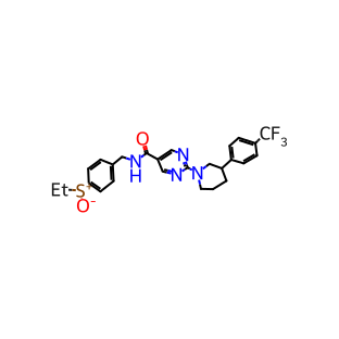 CC[S+]([O-])c1ccc(CNC(=O)c2cnc(N3CCCC(c4ccc(C(F)(F)F)cc4)C3)nc2)cc1